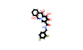 C[C@@]12CCCC[C@]1(O)Cn1cc(C(=O)NCc3ccc(F)cc3F)c(=O)c(O)c1C2=O